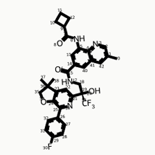 Cc1cnc2c(NC(=O)C3CCC3)cc(C(=O)NC[C@](O)(c3cc4c(c(-c5ccc(F)cc5)n3)OCC4(C)C)C(F)(F)F)cc2c1